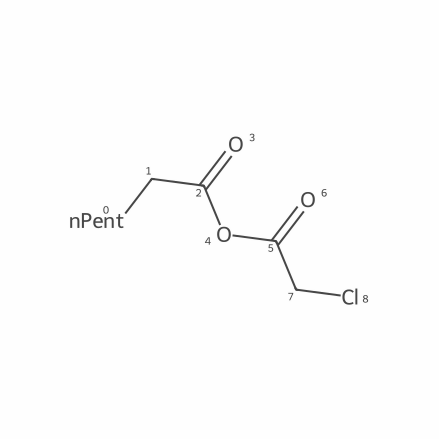 CCCCCCC(=O)OC(=O)CCl